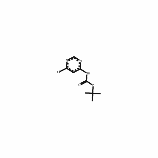 CC(C)(C)OC(=O)Nc1cc(Cl)ncn1